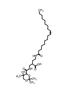 CCCCCCCC/C=C\CCCCCCCC(=O)NCCC(CNC(=O)C1OC(C)(C)OCC1(C)C)C(=O)O